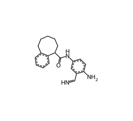 N=Cc1cc(NC(=O)C2CCCCCc3ccccc32)ccc1N